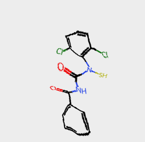 O=C(NC(=O)N(S)c1c(Cl)cccc1Cl)c1ccccc1